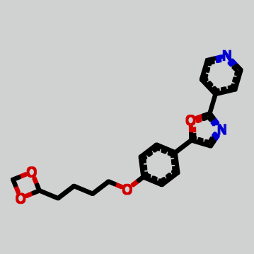 c1cc(-c2ncc(-c3ccc(OCCCCC4OCO4)cc3)o2)ccn1